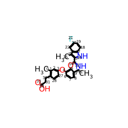 Cc1cc(Oc2cccc([C@@H](C)NC(=O)c3[nH]c4ccc(F)cc4c3C)c2)ccc1CCC(=O)O